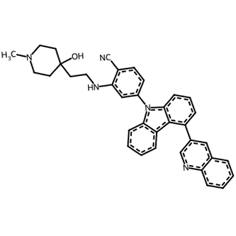 CN1CCC(O)(CCNc2cc(-n3c4ccccc4c4c(-c5cnc6ccccc6c5)cccc43)ccc2C#N)CC1